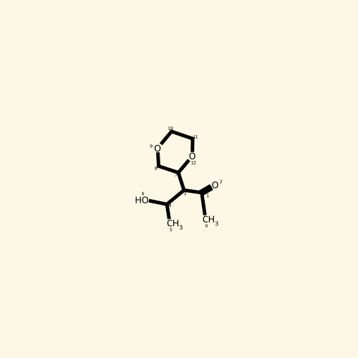 CC(=O)C(C(C)O)C1COCCO1